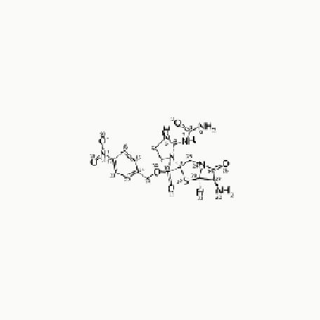 NC(=O)NC1NCCN1[C@]1(C(=O)OCc2ccc([N+](=O)[O-])cc2)CN2C(=O)[C@@H](N)[C@H]2S1